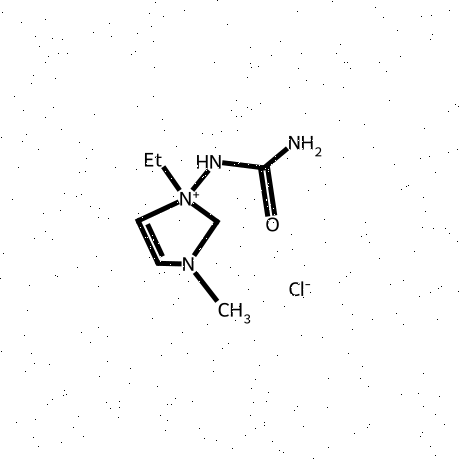 CC[N+]1(NC(N)=O)C=CN(C)C1.[Cl-]